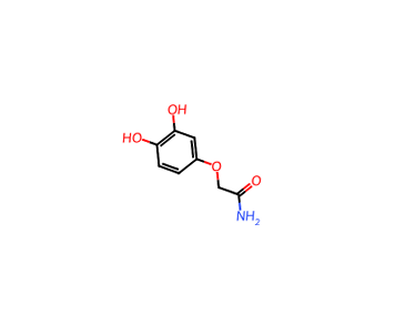 NC(=O)COc1ccc(O)c(O)c1